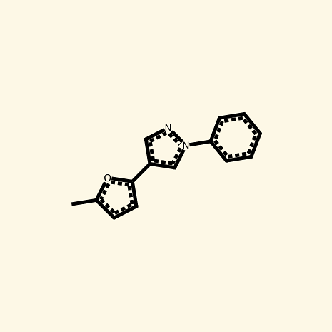 Cc1ccc(-c2cnn(-c3ccccc3)c2)o1